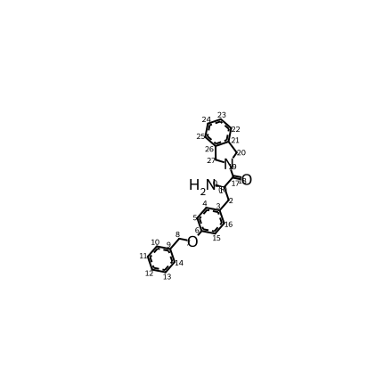 N[C@H](Cc1ccc(OCc2ccccc2)cc1)C(=O)N1Cc2ccccc2C1